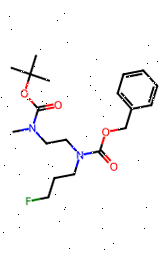 CN(CCN(CCCF)C(=O)OCc1ccccc1)C(=O)OC(C)(C)C